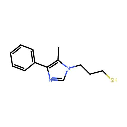 Cc1c(-c2ccccc2)ncn1CCCS